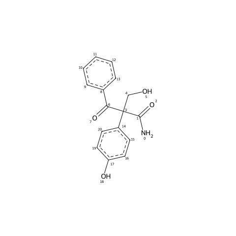 NC(=O)C(CO)(C(=O)c1ccccc1)c1ccc(O)cc1